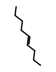 CC[CH]C=CCCCC